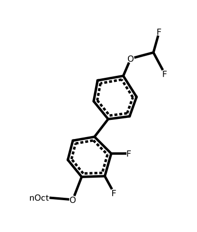 CCCCCCCCOc1ccc(-c2ccc(OC(F)F)cc2)c(F)c1F